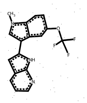 Cn1cc(-c2cc3cccnc3[nH]2)c2cc(OC(F)(F)F)ccc21